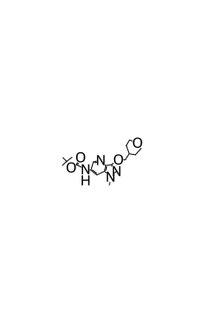 Cn1nc(OCC2CCOCC2)c2ncc(NC(=O)OC(C)(C)C)cc21